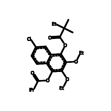 CCOc1c(OCC)c(OC(=O)C(C)(C)CC)c2cc(Cl)ccc2c1OC(=O)C(C)C